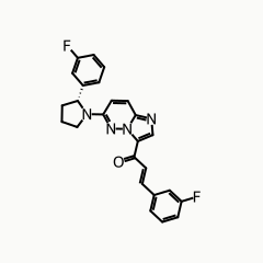 O=C(/C=C/c1cccc(F)c1)c1cnc2ccc(N3CCC[C@@H]3c3cccc(F)c3)nn12